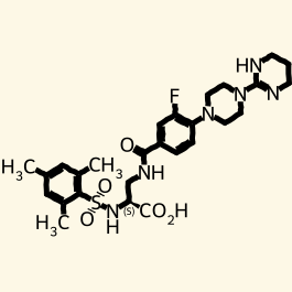 Cc1cc(C)c(S(=O)(=O)N[C@@H](CNC(=O)c2ccc(N3CCN(C4=NCCCN4)CC3)c(F)c2)C(=O)O)c(C)c1